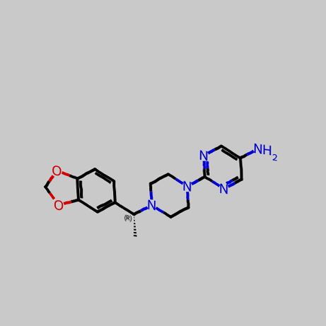 C[C@H](c1ccc2c(c1)OCO2)N1CCN(c2ncc(N)cn2)CC1